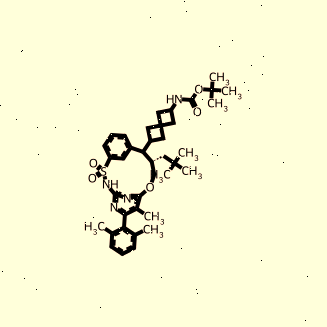 Cc1cccc(C)c1-c1nc2nc(c1C)OC[C@@H](CC(C)(C)C)C(C1CC3(CC(NC(=O)OC(C)(C)C)C3)C1)c1cccc(c1)S(=O)(=O)N2